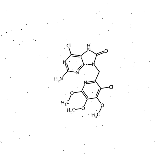 COc1nc(Cn2c(=O)[nH]c3c(Cl)nc(N)nc32)c(Cl)c(OC)c1OC